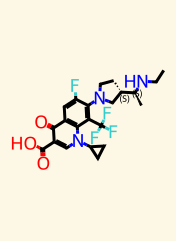 CCN[C@@H](C)[C@H]1CCN(c2c(F)cc3c(=O)c(C(=O)O)cn(C4CC4)c3c2C(F)(F)F)C1